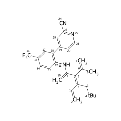 C=C/C(CC(C)(C)C)=C(/C(=C)C)C(=C)Nc1ccc(C(F)(F)F)cc1-c1ccnc(C#N)c1